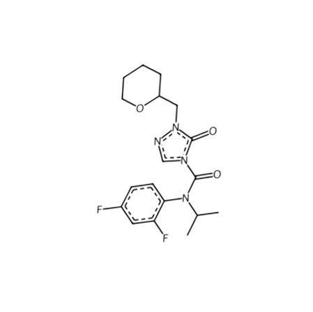 CC(C)N(C(=O)n1cnn(CC2CCCCO2)c1=O)c1ccc(F)cc1F